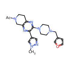 CC(=O)N1CCc2nc(N3CCN(Cc4ccoc4)CC3)c(-c3cnn(C)c3)nc2C1